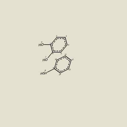 Oc1ccccc1O.[SnH][c]1ccccc1